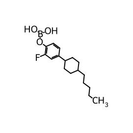 CCCCCC1CCC(c2ccc(OB(O)O)c(F)c2)CC1